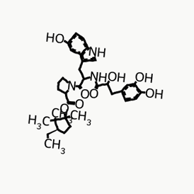 CC[C@@H]1CCC(C)(OC(=O)C2CCCN2C(=O)C(Cc2c[nH]c3ccc(O)cc23)NC(=O)C(O)Cc2ccc(O)c(O)c2)C1(C)C